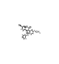 CCc1ccc(OCc2ccncc2)c(C(Nc2ccc(C#N)cc2)C(=O)O)c1